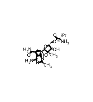 Cc1nc(N)c2c(C(N)=O)cn([C@@H]3O[C@H](COC(=O)[C@@H](N)C(C)C)[C@@H](O)[C@@]3(C)O)c2n1